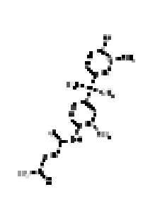 Cc1cc(C(C)(C)c2ccc(NC(=O)C=CC(=O)O)c(C)c2)ccc1O